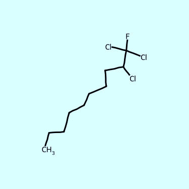 CCCCCCCCC(Cl)C(F)(Cl)Cl